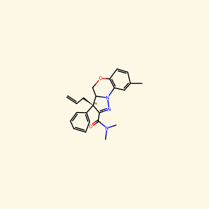 C=CC[C@]1(c2ccccc2)C(C(=O)N(C)C)=NN2c3cc(C)ccc3OCC21